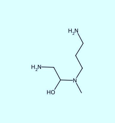 CN(CCCN)C(O)CN